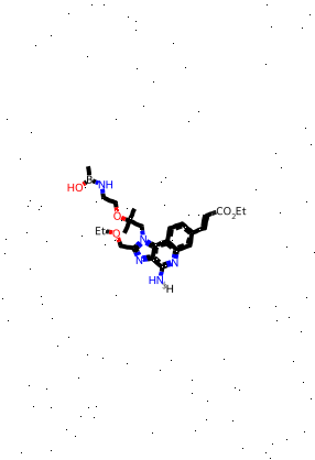 [3H]Nc1nc2cc(/C=C/C(=O)OCC)ccc2c2c1nc(COCC)n2CC(C)(C)OCCNB(C)O